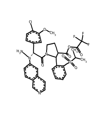 COc1cc([C@H](C(=O)N2CCC(C(=O)OC(=O)C(F)(F)F)C2c2ccccc2S(=O)(=O)C(C)C)N(N)c2ccc3cnccc3c2)ccc1Cl